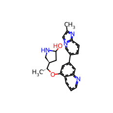 Cc1cn2cc(-c3cc(O[C@H](C)[C@H]4CNC(O)C4)c4cccnc4c3)ccc2n1